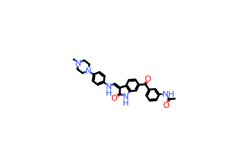 CC(=O)Nc1cccc(C(=O)c2ccc3c(c2)NC(=O)C3=CNc2ccc(N3CCN(C)CC3)cc2)c1